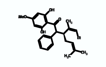 CC/C=C(/C)[C@@H](CC=C(C)C)C(C(=O)c1c(O)cc(OC)cc1O)c1ccccc1